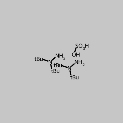 CC(C)(C)N(N)C(C)(C)C.CC(C)(C)N(N)C(C)(C)C.O=S(=O)(O)O